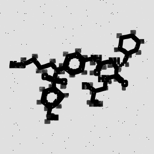 CCCCC(CC)CNC(=O)[C@@H](CC1CCCCC1)NC(=O)Nc1ccc(N(CCCSC)S(=O)(=O)c2ccc(C(C)(C)C)cc2)cc1